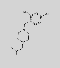 C[C](C)CN1CCN(Cc2ccc(Cl)cc2Br)CC1